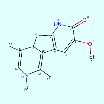 CCOc1cc2c([nH]c1=O)CC1C(C)=CN(C)C(C)=C21